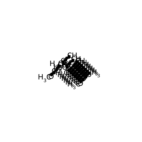 CCCCOC(C)=O.CCCCOC(C)=O.COCCOCCOC.COCCOCCOC.COCCOCCOC.COCCOCCOC.COCCOCCOC.COCCOCCOC.COCCOCCOC.COCCOCCOC